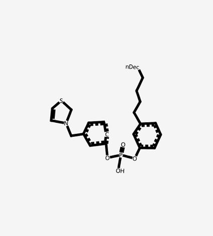 CCCCCCCCCCCCCCc1cccc(OP(=O)(O)Oc2cccc(CN3C=CSC3)c2)c1